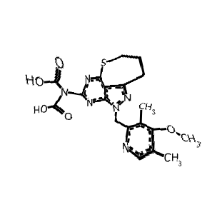 COc1c(C)cnc(Cn2nc3c4c(nc(N(C(=O)O)C(=O)O)nc42)SCCC3)c1C